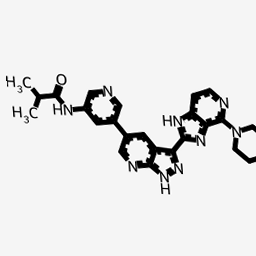 CC(C)C(=O)Nc1cncc(-c2cnc3[nH]nc(-c4nc5c(N6CCCCC6)nccc5[nH]4)c3c2)c1